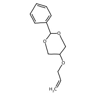 C=CCOC1COC(c2ccccc2)OC1